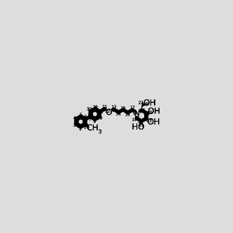 Cc1ccccc1-c1ccc(COCCCCCN2C[C@H](O)C(O)[C@H](O)[C@H]2CO)cc1